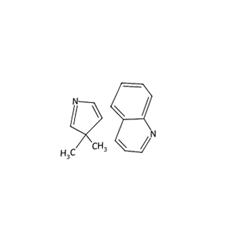 CC1(C)C=CN=C1.c1ccc2ncccc2c1